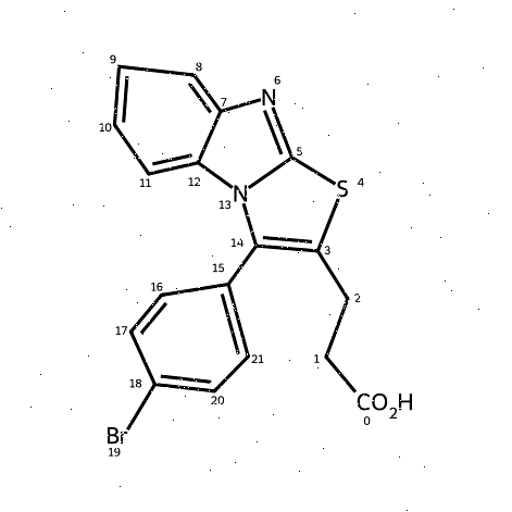 O=C(O)CCc1sc2nc3ccccc3n2c1-c1ccc(Br)cc1